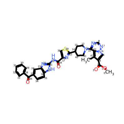 COC(=O)c1cn2ncnc(N3CCC(c4nc(C(=O)Nc5nc6cc(C(=O)c7ccccc7)ccc6[nH]5)cs4)CC3)c2c1C